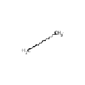 [CH2]CCCC=CCCCCCCCCCCC[CH2]